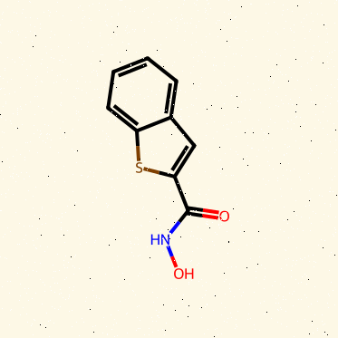 O=C(NO)c1cc2ccccc2s1